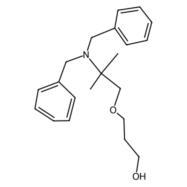 CC(C)(COCCCO)N(Cc1ccccc1)Cc1ccccc1